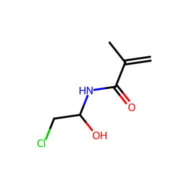 C=C(C)C(=O)NC(O)CCl